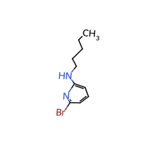 CCCCCNc1cccc(Br)n1